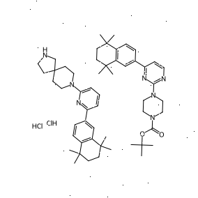 CC(C)(C)OC(=O)N1CCN(c2nccc(-c3ccc4c(c3)C(C)(C)CCC4(C)C)n2)CC1.CC1(C)CCC(C)(C)c2cc(-c3cccc(N4CCC5(CCNC5)CC4)n3)ccc21.Cl.Cl